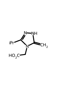 C=C1NN=C(C(C)C)N1CC(=O)O